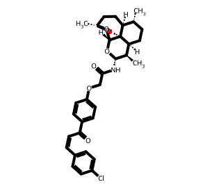 C[C@H]1[C@H](NC(=O)COc2ccc(C(=O)/C=C\c3ccc(Cl)cc3)cc2)O[C@@H]2O[C@]3(C)CC[C@H]4[C@H](C)CC[C@@H]1[C@@]24OO3